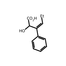 CCC=C(c1ccccc1)C(O)C(=O)O